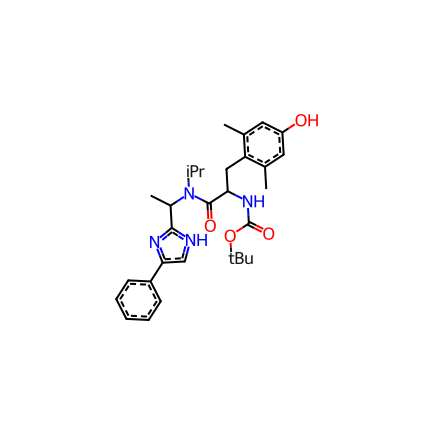 Cc1cc(O)cc(C)c1CC(NC(=O)OC(C)(C)C)C(=O)N(C(C)C)C(C)c1nc(-c2ccccc2)c[nH]1